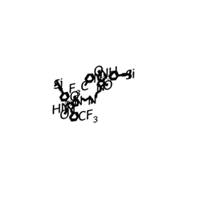 CN(CCCN1CC2=C(C1=O)[C@@H](c1ccc(C#C[Si](C)(C)C)cc1)NC(=O)N2c1cccc(C(F)(F)F)c1)CCCN1CC2=C(C1=O)[C@@H](c1ccc(C#C[Si](C)(C)C)cc1)NC(=O)N2c1cccc(C(F)(F)F)c1